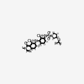 Cn1cnc2ccc(Nc3c(F)ccc(NS(=O)(=O)N4CCC(OC(F)F)C4)c3Cl)c(Cl)c2c1=O